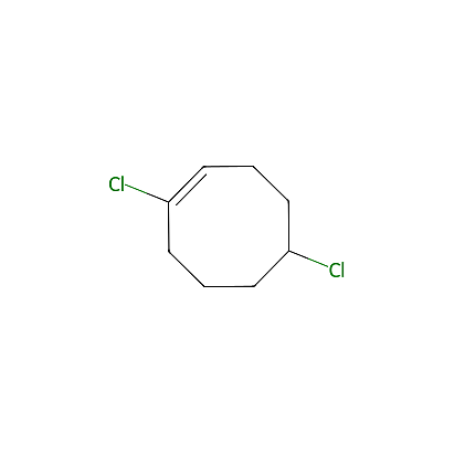 Cl/C1=C/CCC(Cl)CCC1